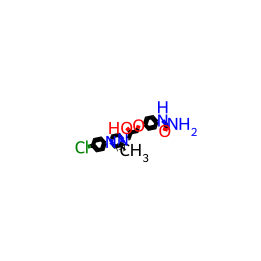 C[C@H]1CN(c2ccc(Cl)cc2)CCN1CC(O)COc1ccc(NC(N)=O)cc1